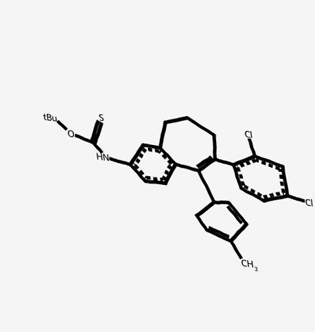 CC1=CCC(C2=C(c3ccc(Cl)cc3Cl)CCCc3cc(NC(=S)OC(C)(C)C)ccc32)C=C1